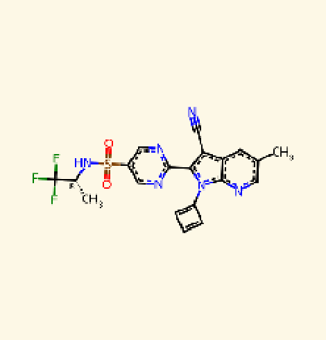 Cc1cnc2c(c1)c(C#N)c(-c1ncc(S(=O)(=O)N[C@H](C)C(F)(F)F)cn1)n2C1=CC=C1